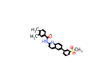 Cc1ccc(C(=O)Nc2ccc3cc(-c4cccc(S(C)(=O)=O)c4)ccc3n2)cc1C